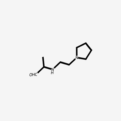 CC(C=O)NCCN1CCCC1